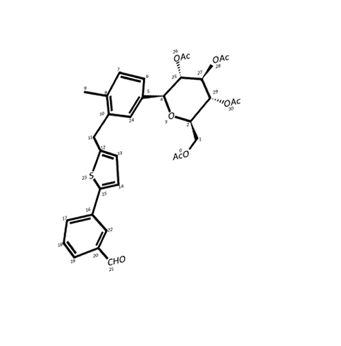 CC(=O)OC[C@H]1O[C@@H](c2ccc(C)c(Cc3ccc(-c4cccc(C=O)c4)s3)c2)[C@H](OC(C)=O)[C@@H](OC(C)=O)[C@@H]1OC(C)=O